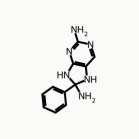 Nc1ncc2c(n1)NC(N)(c1ccccc1)N2